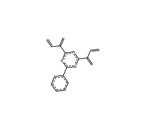 C=CC(=C)c1nc(C(=C)C=C)nc(-c2ccccc2)n1